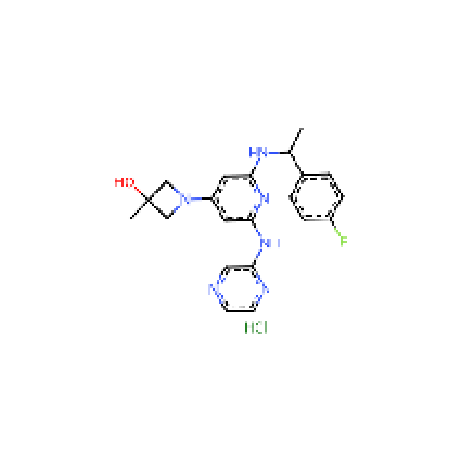 CC(Nc1cc(N2CC(C)(O)C2)cc(Nc2cnccn2)n1)c1ccc(F)cc1.Cl